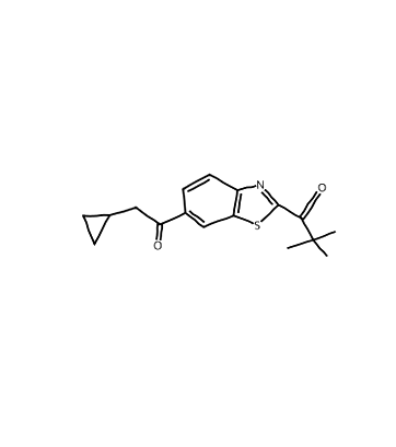 CC(C)(C)C(=O)c1nc2ccc(C(=O)CC3CC3)cc2s1